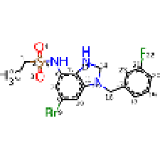 CCS(=O)(=O)Nc1cc(Br)cc2c1NCN2Cc1cccc(F)c1